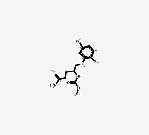 CC(C)(C)OC(=O)N[C@@H](CCC(N)=O)COc1cc(Br)ccc1F